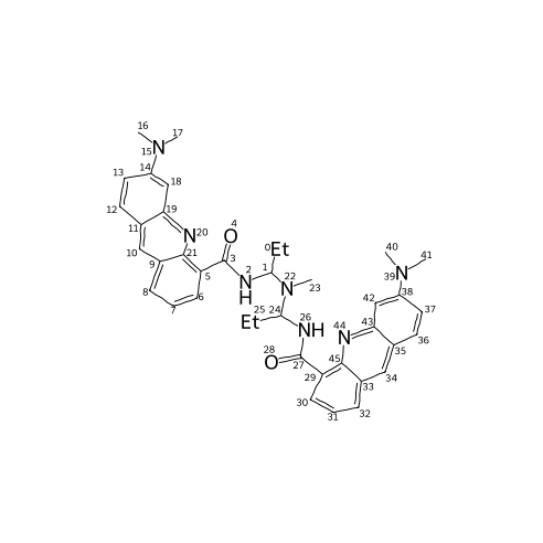 CCC(NC(=O)c1cccc2cc3ccc(N(C)C)cc3nc12)N(C)C(CC)NC(=O)c1cccc2cc3ccc(N(C)C)cc3nc12